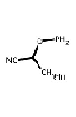 CC(C#N)OP.Cl